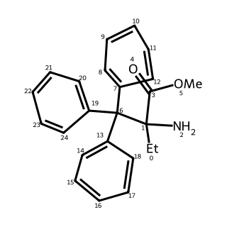 CCC(N)(C(=O)OC)C(c1ccccc1)(c1ccccc1)c1ccccc1